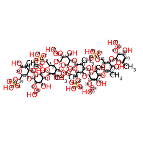 COOC1O[C@@H](O[C@@H]2C(COS(=O)(=O)O)O[C@H](O[C@H]3C(OOC)O[C@@H](O[C@@H]4C(COS(=O)(=O)O)OC(O)C(C)[C@H]4O)C(OOO)[C@@H]3O)C(C)[C@H]2OOO)C(OOO)[C@H](O)[C@@H]1O[C@H]1OC(COS(=O)(=O)O)[C@@H](O[C@@H]2OC(C)[C@@H](O[C@H]3OC(COS(=O)(=O)O)[C@@H](O[C@@H]4OC(C)=C[C@@H](O)C4OOO)[C@H](O)C3C)[C@@H](O)C2OOO)[C@H](O)C1C